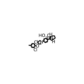 Cc1cc(Cl)c(OC2CCN(c3ccc(C4=C(C(=O)O)[C@H]5CC[C@@H](C4)N5)cc3)C2)c(Cl)c1